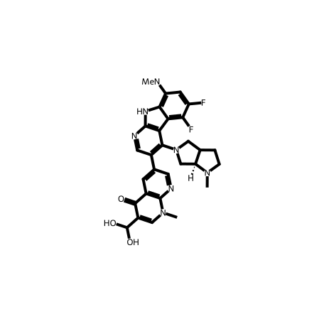 CNc1cc(F)c(F)c2c1[nH]c1ncc(-c3cnc4c(c3)c(=O)c(C(O)O)cn4C)c(N3CC4CCN(C)[C@H]4C3)c12